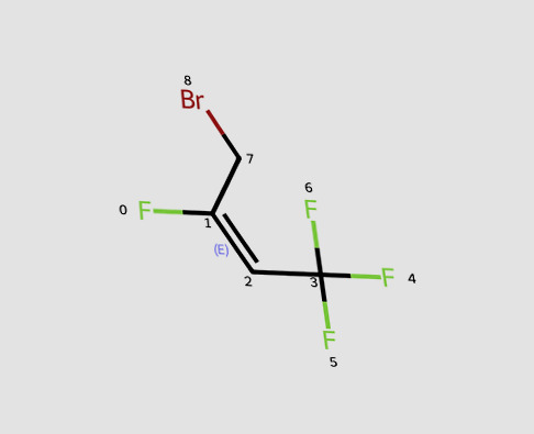 F/C(=C/C(F)(F)F)CBr